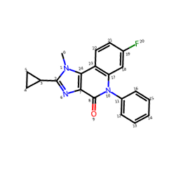 Cn1c(C2CC2)nc2c(=O)n(-c3ccccc3)c3cc(F)ccc3c21